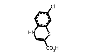 O=C(O)C1=CNc2ccc(Cl)cc2S1